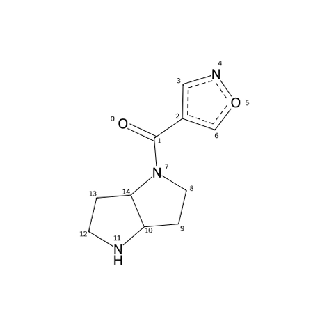 O=C(c1cnoc1)N1CCC2NCCC21